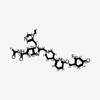 CCn1cncc1Cn1c(CN2CCC(c3cccc(OCc4ccc(Cl)cc4F)n3)CC2)nc2sc(C(=O)NC(C)=O)cc21